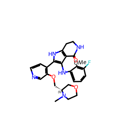 COc1c(F)cccc1Nc1c(-c2ccncc2OC[C@@H]2COCCN2C)[nH]c2c1C(=O)NCC2